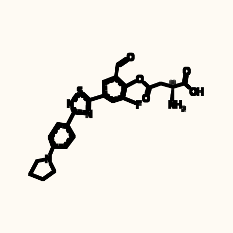 N[C@@H](CC(=O)Oc1c(F)cc(-c2nc(-c3ccc(N4CCCC4)cc3)ns2)cc1C=O)C(=O)O